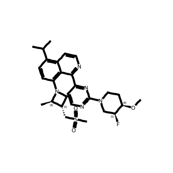 CO[C@@H]1CCN(c2nccc(-c3nccc4c(C(C)C)ccc(N5C[C@H](CS(C)(=O)=O)[C@H]5C)c34)n2)C[C@@H]1F